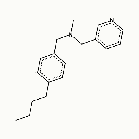 CCCCc1[c]cc(CN(C)Cc2cccnc2)cc1